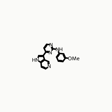 COc1cccc(Nc2nccc(-c3c[nH]c4ccncc34)n2)c1